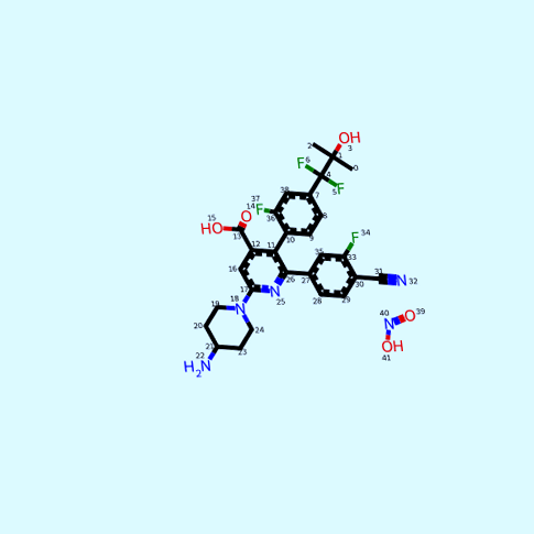 CC(C)(O)C(F)(F)c1ccc(-c2c(C(=O)O)cc(N3CCC(N)CC3)nc2-c2ccc(C#N)c(F)c2)c(F)c1.O=NO